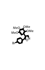 COc1cc(-c2cnoc2-c2ccc(Br)cc2)c(OC)c(OC)c1OC